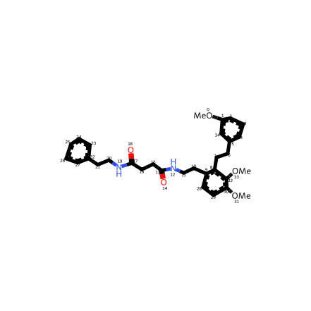 COc1cccc(CCc2c(CCNC(=O)CCC(=O)NCCc3ccccc3)ccc(OC)c2OC)c1